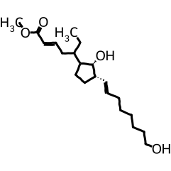 CCC(CC=CC(=O)OC)C1CC[C@@H](C=CCCCCCCO)[C@H]1O